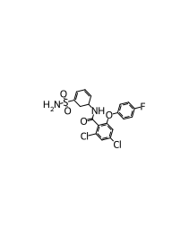 NS(=O)(=O)C1=CC=CC(NC(=O)c2c(Cl)cc(Cl)cc2Oc2ccc(F)cc2)C1